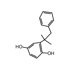 CC(C)(Cc1ccccc1)c1cc(O)ccc1O